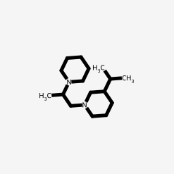 CC(C)C1CCCN(CC(C)N2CCCCC2)C1